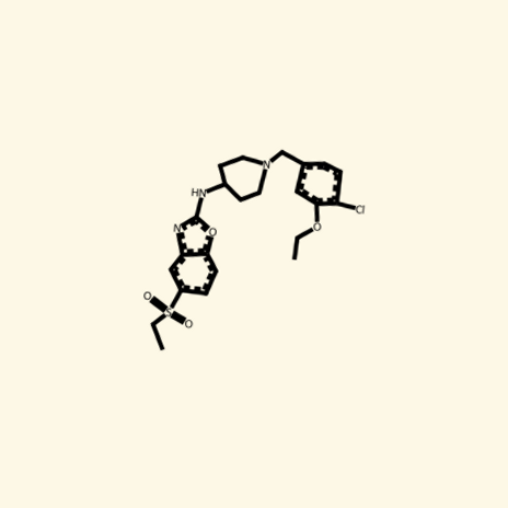 CCOc1cc(CN2CCC(Nc3nc4cc(S(=O)(=O)CC)ccc4o3)CC2)ccc1Cl